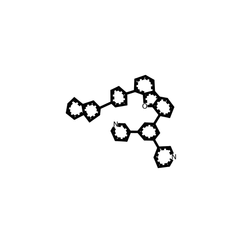 c1cncc(-c2cc(-c3cccnc3)cc(-c3cccc4c3oc3c(-c5ccc(-c6ccc7ccccc7c6)cc5)cccc34)c2)c1